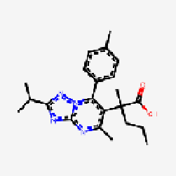 CCCC(C)(C(=O)O)c1c(C)nc2nc(C(C)C)nn2c1-c1ccc(C)cc1